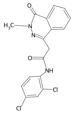 Cn1nc(CC(=O)Nc2ccc(Cl)cc2Cl)c2ccccc2c1=O